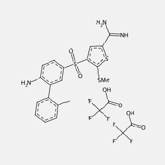 CSc1sc(C(=N)N)cc1S(=O)(=O)c1ccc(N)c(-c2ccccc2C)c1.O=C(O)C(F)(F)F.O=C(O)C(F)(F)F